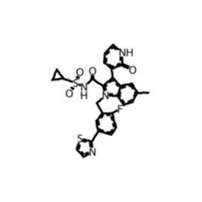 Cc1ccc2c(c1)c(-c1ccc[nH]c1=O)c(C(=O)NS(=O)(=O)C1CC1)n2Cc1cc(-c2nccs2)ccc1F